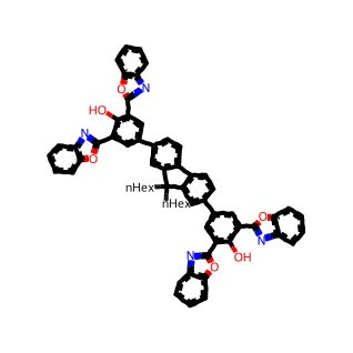 CCCCCCC1(CCCCCC)c2cc(-c3cc(-c4nc5ccccc5o4)c(O)c(-c4nc5ccccc5o4)c3)ccc2-c2ccc(-c3cc(-c4nc5ccccc5o4)c(O)c(-c4nc5ccccc5o4)c3)cc21